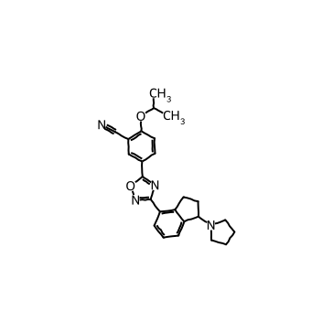 CC(C)Oc1ccc(-c2nc(-c3cccc4c3CCC4N3CCCC3)no2)cc1C#N